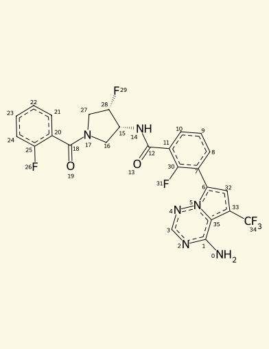 Nc1ncnn2c(-c3cccc(C(=O)N[C@@H]4CN(C(=O)c5ccccc5F)C[C@@H]4F)c3F)cc(C(F)(F)F)c12